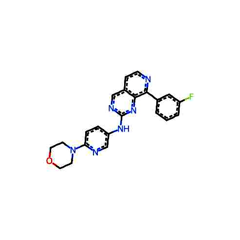 Fc1cccc(-c2nccc3cnc(Nc4ccc(N5CCOCC5)nc4)nc23)c1